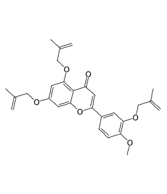 C=C(C)COc1cc(OCC(=C)C)c2c(=O)cc(-c3ccc(OC)c(OCC(=C)C)c3)oc2c1